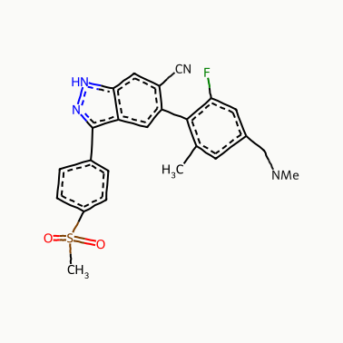 CNCc1cc(C)c(-c2cc3c(-c4ccc(S(C)(=O)=O)cc4)n[nH]c3cc2C#N)c(F)c1